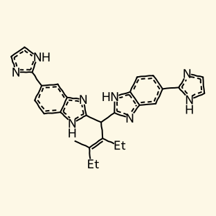 CCC(C)=C(CC)C(c1nc2cc(-c3ncc[nH]3)ccc2[nH]1)c1nc2cc(-c3ncc[nH]3)ccc2[nH]1